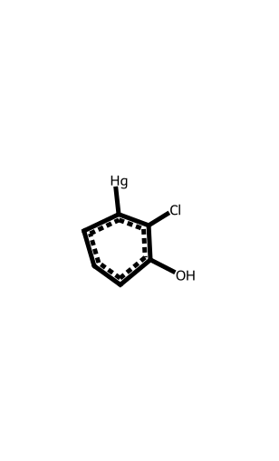 Oc1ccc[c]([Hg])c1Cl